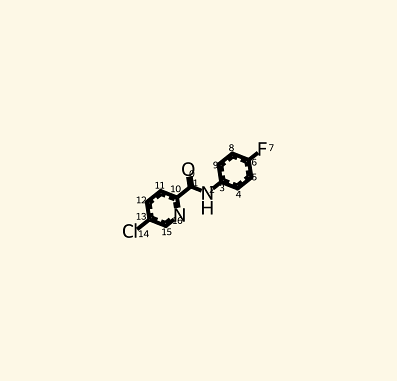 O=C(Nc1ccc(F)cc1)c1ccc(Cl)cn1